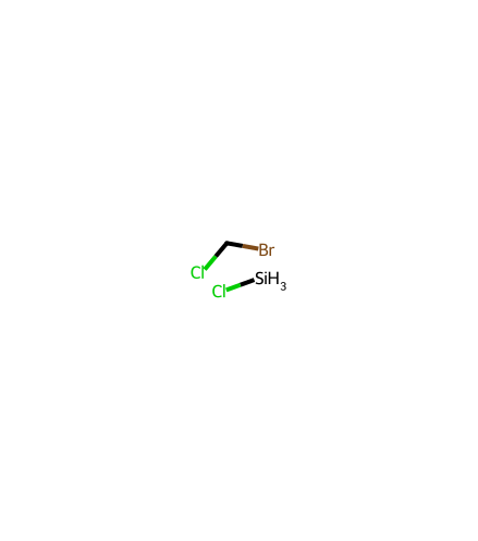 ClCBr.[SiH3]Cl